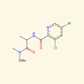 CON(C)C(=O)C(C)NC(=O)c1ncc(Br)cc1Cl